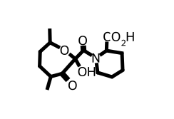 CC1CCC(C)C(=O)C(O)(C(=O)N2CCCCC2C(=O)O)O1